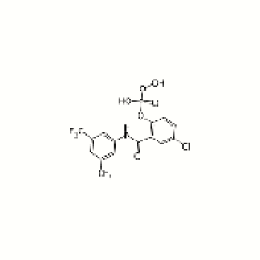 O=C(Nc1cc(C(F)(F)F)cc(C(F)(F)F)c1)c1cc(Cl)ccc1OP(=O)(O)OO